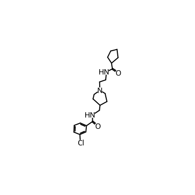 O=C(NCC1CCN(CCNC(=O)C2CCCC2)CC1)c1cccc(Cl)c1